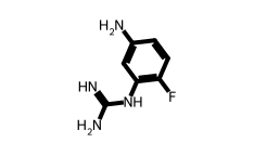 N=C(N)Nc1cc(N)ccc1F